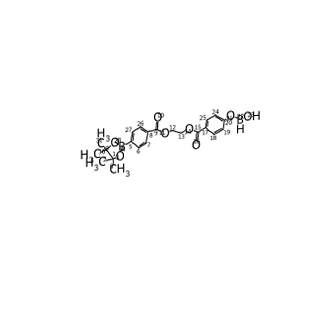 CC1(C)OB(c2ccc(C(=O)OCCOC(=O)c3ccc(OBO)cc3)cc2)OC1(C)C